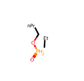 CCC.CCCCO[PH2]=O